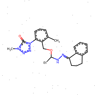 CCC(NN=C1CCCc2ccccc21)OCc1c(C)cccc1-n1nnn(C)c1=O